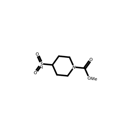 COC(=O)N1CCC([SH](=O)=O)CC1